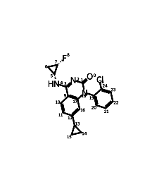 O=c1nc(N[C@@H]2C[C@@H]2F)c2ccc(C3CC3)cc2n1-c1ccccc1Cl